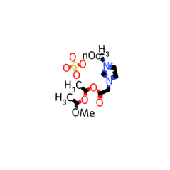 CCCCCCCCOS(=O)(=O)[O-].COC(C)OC(C)OC(=O)Cn1cc[n+](C)c1